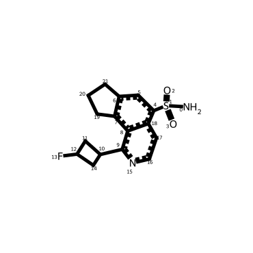 NS(=O)(=O)c1cc2c(c3c(C4CC(F)C4)nccc13)CCC2